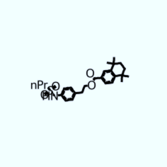 CCCS(=O)(=O)Nc1ccc(CCOC(=O)c2ccc3c(c2)C(C)(C)CCC3(C)C)cc1